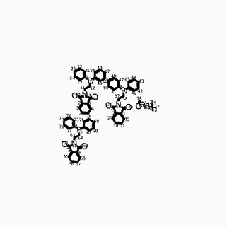 O=C1c2ccccc2C(=O)N1CCP(c1ccccc1)c1ccccc1.O=C1c2ccccc2C(=O)N1CCP(c1ccccc1)c1ccccc1.O=C1c2ccccc2C(=O)N1CCP(c1ccccc1)c1ccccc1.[C]=O.[H-].[H-].[H-].[Rh+3]